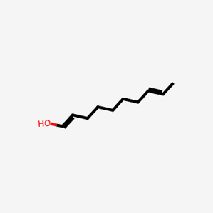 CC=CCCCCCC=CO